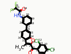 Cc1c(C(=O)c2ccc(Cl)cc2Cl)oc2cc(-c3cccc(NC(=O)C(F)F)c3)ccc12